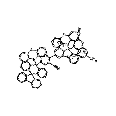 Cc1cc(C)c2c(C3(N4c5ccccc5Sc5ccccc54)c4c(C)cccc4-c4cc(-c5ccc(C6(N7c8ccccc8Sc8ccccc87)c7ccccc7C7(c8ccccc8-c8ccccc87)c7ccccc76)cc5C#N)cc(C)c43)cc(C#N)cc2c1